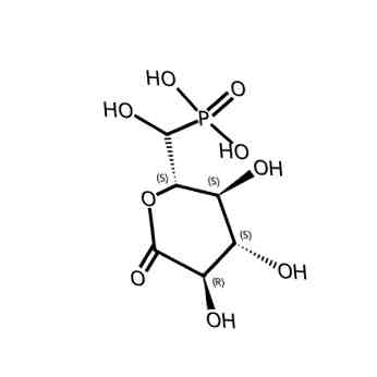 O=C1O[C@H](C(O)P(=O)(O)O)[C@@H](O)[C@H](O)[C@H]1O